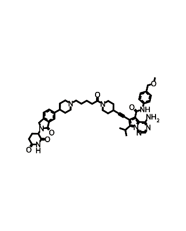 COCc1ccc(NC(=O)c2c(C#CC3CCN(C(=O)CCCCN4CCC(c5ccc6c(c5)C(=O)N(C5CCC(=O)NC5=O)C6)CC4)CC3)c(C(C)C)n3ncnc(N)c23)cc1